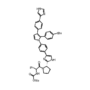 COC(=O)NC(C(=O)N1CCC[C@H]1c1nc(-c2ccc(-n3ccc(-c4ccc(-c5c[nH]cn5)cc4)c3-c3ccc(C(C)(C)C)cc3)cc2)c[nH]1)C(C)C